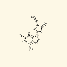 C#CC1OC(n2cnc3c(N)nc(F)nc32)CC1O